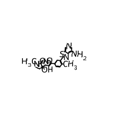 Cc1ccc(-c2cc([C@]3(O)CCN(C)C3=O)no2)cc1-c1nc2c(N)cncc2s1